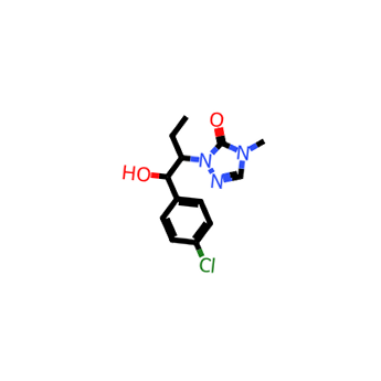 CCC(C(O)c1ccc(Cl)cc1)n1ncn(C)c1=O